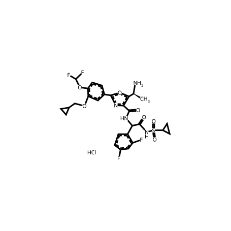 C[C@H](N)c1oc(-c2ccc(OC(F)F)c(OCC3CC3)c2)nc1C(=O)NC(C(=O)NS(=O)(=O)C1CC1)c1ccc(F)cc1F.Cl